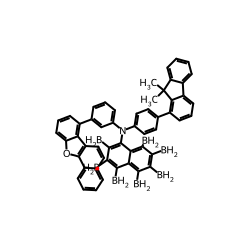 Bc1c(B)c(B)c2c(N(c3ccc(-c4cccc5c4C(C)(C)c4ccccc4-5)cc3)c3cccc(-c4cccc5oc6c7ccccc7ccc6c45)c3)c(B)c(B)c(B)c2c1B